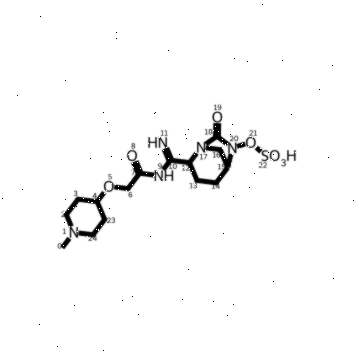 CN1CCC(OCC(=O)NC(=N)C2CCC3CN2C(=O)N3OS(=O)(=O)O)CC1